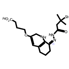 CC(C)(S)CC(=O)N/N=C1/CCCC2=C1NCC(OCCCC(=O)O)=C2